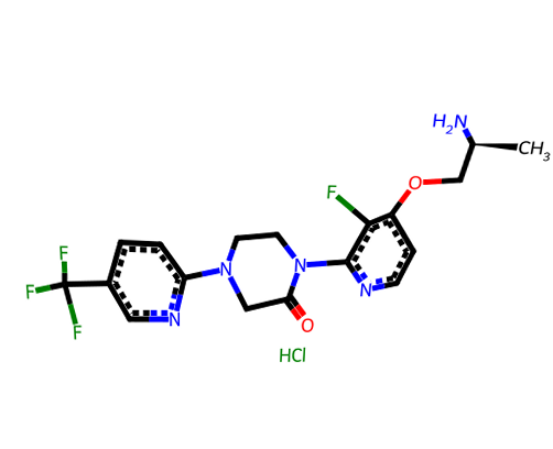 C[C@H](N)COc1ccnc(N2CCN(c3ccc(C(F)(F)F)cn3)CC2=O)c1F.Cl